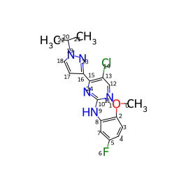 COc1c[c]c(F)cc1Nc1ncc(Cl)c(-c2ccn(C(C)C)n2)n1